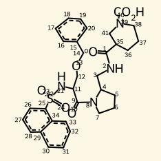 O=C(NCC1CCCN1C(=O)C(COCc1ccccc1)NS(=O)(=O)c1cccc2ccccc12)C1CCCN(C(=O)O)C1